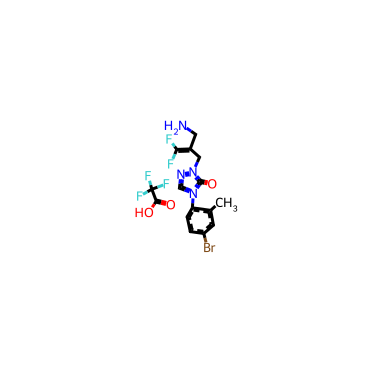 Cc1cc(Br)ccc1-n1cnn(CC(CN)=C(F)F)c1=O.O=C(O)C(F)(F)F